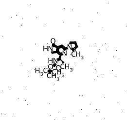 CC[C@@H](NC(=O)OC(C)(C)C)c1nc(N2CCC[C@H]2C)cc2c1CNC2=O